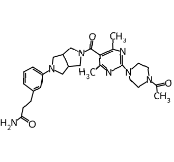 CC(=O)N1CCN(c2nc(C)c(C(=O)N3CC4CN(c5cccc(CCC(N)=O)c5)CC4C3)c(C)n2)CC1